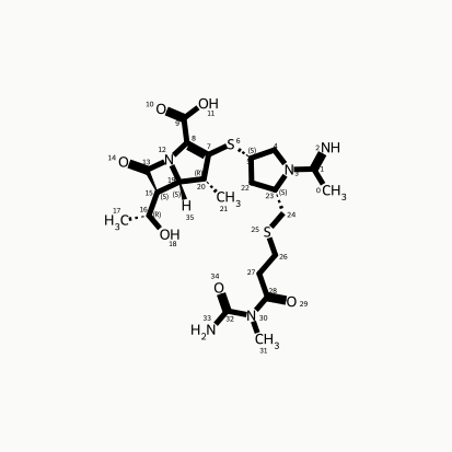 CC(=N)N1C[C@@H](SC2=C(C(=O)O)N3C(=O)[C@H]([C@@H](C)O)[C@H]3[C@H]2C)C[C@H]1CSCCC(=O)N(C)C(N)=O